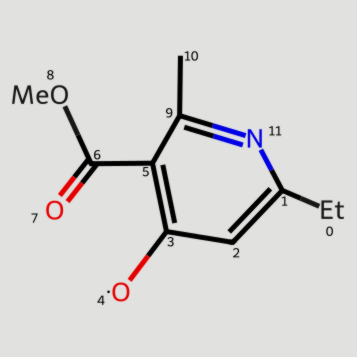 CCc1cc([O])c(C(=O)OC)c(C)n1